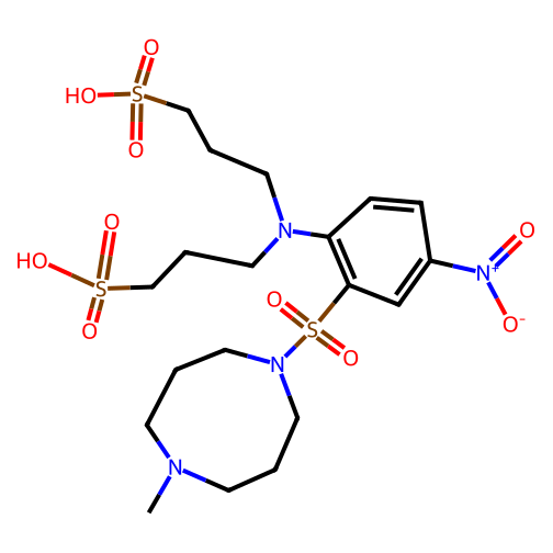 CN1CCCN(S(=O)(=O)c2cc([N+](=O)[O-])ccc2N(CCCS(=O)(=O)O)CCCS(=O)(=O)O)CCC1